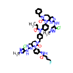 C=CC(=O)N(c1ccc(CN2CCc3cnc(Nc4cn(C)nc4Cl)nc3N(c3cccc(NC(=O)/C=C/CF)c3)C2=O)cc1)c1cccc(N2C(=O)N(Cc3ccccc3)CCc3cnc(Nc4cn(C)nc4Cl)nc32)c1